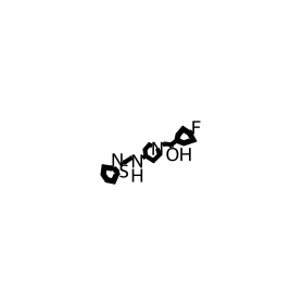 OC(CN1CCC(NCc2nc3ccccc3s2)CC1)c1ccc(F)cc1